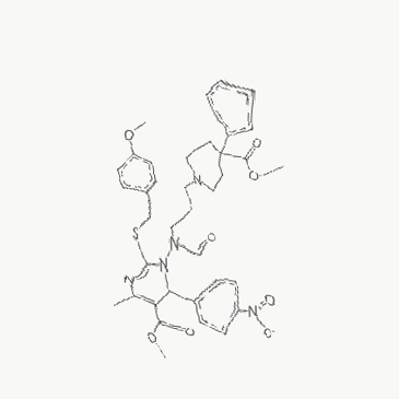 COC(=O)C1=C(C)N=C(SCc2ccc(OC)cc2)N(N(C=O)CCCN2CCC(C(=O)OC)(c3ccccc3)CC2)C1c1ccc([N+](=O)[O-])cc1